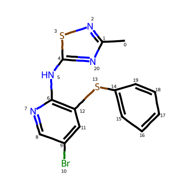 Cc1nsc(Nc2ncc(Br)cc2Sc2ccccc2)n1